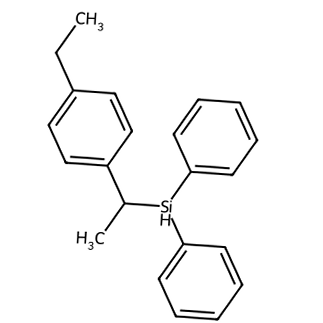 CCc1ccc(C(C)[SiH](c2ccccc2)c2ccccc2)cc1